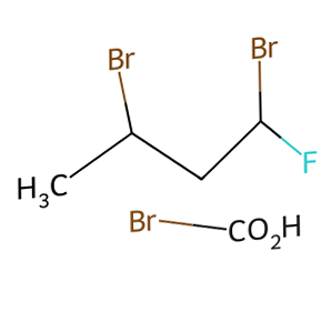 CC(Br)CC(F)Br.O=C(O)Br